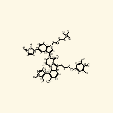 Cc1cc(OCCCc2c3n(c4c(-c5c(C)nn(C)c5C)c(Cl)ccc24)[C@H](C)CN(c2cn(COCC[Si](C)(C)C)c4ccc(N5C=CN(C)N5)cc24)C3=O)cc(C)c1Cl